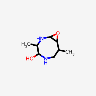 CC1CNC(O)C(C)NC2OC12